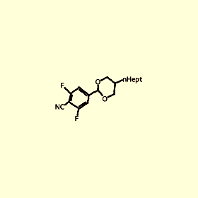 CCCCCCCC1COC(c2cc(F)c(C#N)c(F)c2)OC1